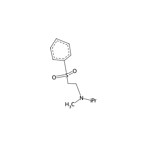 CC(C)N(C)CCS(=O)(=O)c1ccccc1